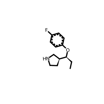 CC[C@H](Oc1ccc(F)cc1)[C@H]1CCNC1